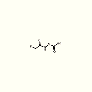 CCCC(=O)[N]NC(=O)CF